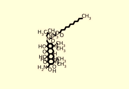 CCCCCCCCCCCC(=O)OCOC(=O)N(Cc1cc(N(C)C)c2c(c1O)C(=O)C1=C(O)[C@]3(O)C(=O)C(C(N)=O)=C(O)[C@@H](N(C)C)[C@@H]3C[C@@H]1C2)CC(C)(C)C